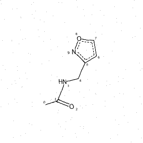 CC(=O)NCc1ccon1